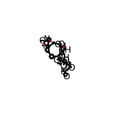 CCn1c(-c2cccnc2[C@H](C)OC)c2c3cc(ccc31)-c1cccc(c1)C[C@H](NC(=O)[C@H](C(C)C)N1CO[C@]3(CCN(C(=O)C#C[C@]4(N(C)C)CCOC4)C3)C1=O)C(=O)N1CCC[C@H](N1)C(=O)OCC(C)(C)C2